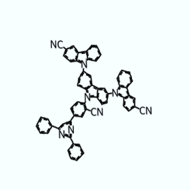 N#Cc1ccc2c(c1)c1ccccc1n2-c1ccc2c(c1)c1cc(-n3c4ccccc4c4cc(C#N)ccc43)ccc1n2-c1ccc(-c2cc(-c3ccccc3)nc(-c3ccccc3)n2)cc1C#N